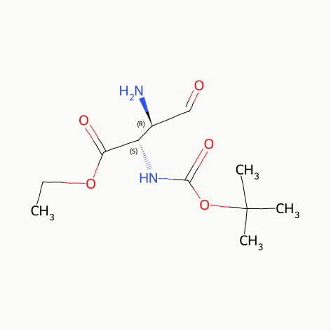 CCOC(=O)[C@@H](NC(=O)OC(C)(C)C)[C@@H](N)C=O